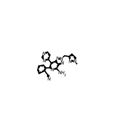 Cn1ccc(Cn2nc3c(N)nc(-c4ccccc4C#N)c(-c4ccncn4)c3n2)n1